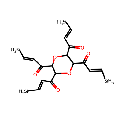 O=C(C=C[SiH3])C1OC(C(=O)C=C[SiH3])C(C(=O)C=C[SiH3])OC1C(=O)C=C[SiH3]